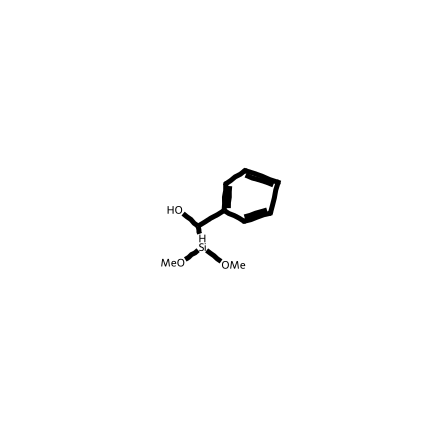 CO[SiH](OC)C(O)c1ccccc1